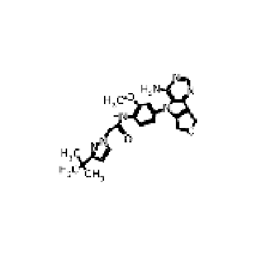 COc1cc(-n2c3c(c4ncnc(N)c42)COC3)ccc1NC(=O)Cn1ccc(C(C)(C)C)n1